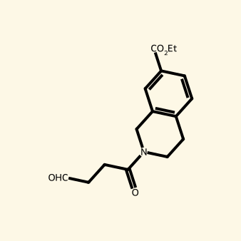 CCOC(=O)c1ccc2c(c1)CN(C(=O)CCC=O)CC2